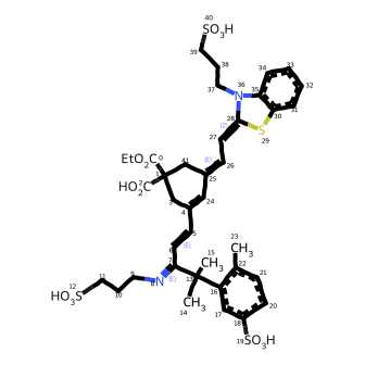 CCOC(=O)C1(C(=O)O)CC(/C=C/C(=N\CCCS(=O)(=O)O)C(C)(C)c2cc(S(=O)(=O)O)ccc2C)=CC(=C/C=C2\Sc3ccccc3N2CCCS(=O)(=O)O)/C1